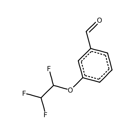 O=Cc1cccc(OC(F)C(F)F)c1